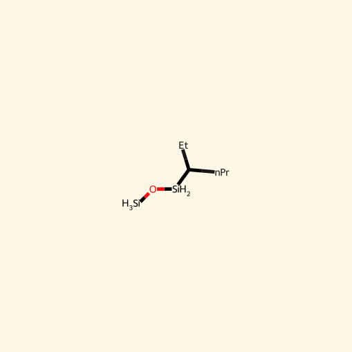 CCCC(CC)[SiH2]O[SiH3]